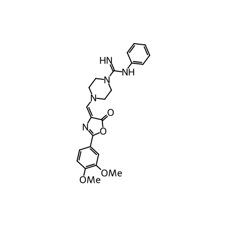 COc1ccc(C2=N/C(=C/N3CCN(C(=N)Nc4ccccc4)CC3)C(=O)O2)cc1OC